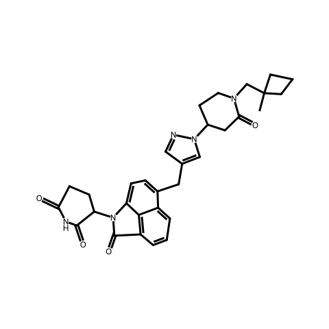 CC1(CN2CCC(n3cc(Cc4ccc5c6c(cccc46)C(=O)N5C4CCC(=O)NC4=O)cn3)CC2=O)CCC1